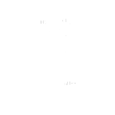 C=C(CS)CCCCCCCCCCCC